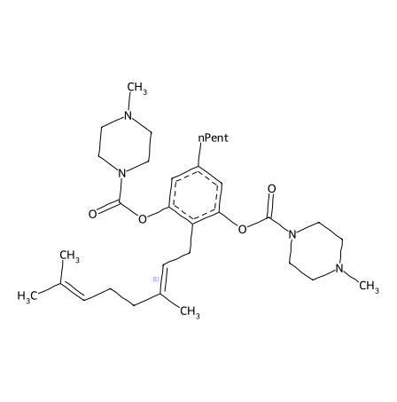 CCCCCc1cc(OC(=O)N2CCN(C)CC2)c(C/C=C(\C)CCC=C(C)C)c(OC(=O)N2CCN(C)CC2)c1